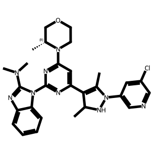 CC1=C(c2cc(N3CCOC[C@H]3C)nc(-n3c(N(C)C)nc4ccccc43)n2)C(C)NN1c1cncc(Cl)c1